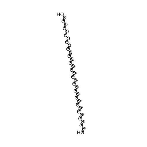 OOOOOOOOOOOOOOOOOOOOOOOOOOOOOOOOOOO